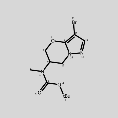 CN(C(=O)OC(C)(C)C)C1COc2c(Br)cnn2C1